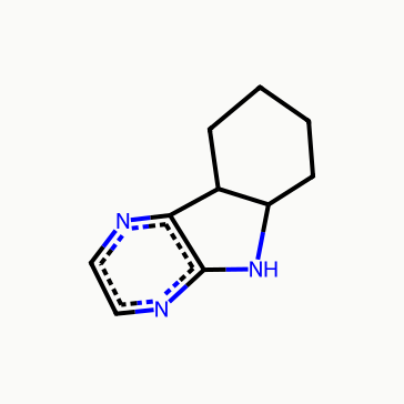 c1cnc2c(n1)NC1CCCCC21